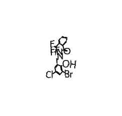 O=C(N/N=C/c1cc(Cl)cc(Br)c1O)c1ccccc1C(F)(F)F